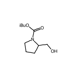 CC(C)COC(=O)N1CCCC1CO